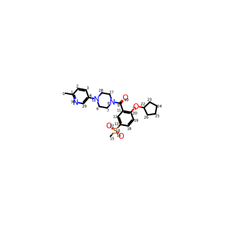 Cc1ccc(N2CCN(C(=O)c3cc(S(C)(=O)=O)ccc3OC3CCCC3)CC2)cn1